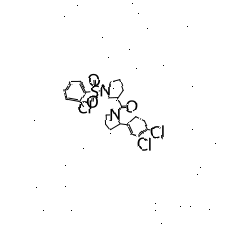 O=C(C1CCCN(S(=O)(=O)c2ccccc2Cl)C1)N1CCCC1C1=CC(Cl)=C(Cl)CC1